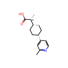 Cc1cc([C@H]2CC[C@@H]([C@@H](C)C(=O)O)CC2)ccn1